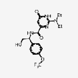 CCN(CC)c1nc(C(=O)NC(CO)c2ccc(OC(F)(F)F)cc2)cc(=O)[nH]1